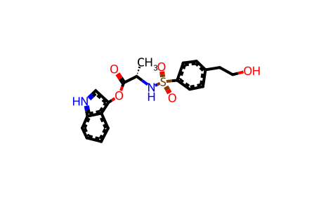 C[C@H](NS(=O)(=O)c1ccc(CCO)cc1)C(=O)Oc1c[nH]c2ccccc12